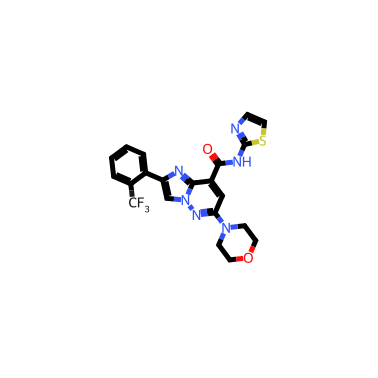 O=C(Nc1nccs1)c1cc(N2CCOCC2)nn2cc(-c3ccccc3C(F)(F)F)nc12